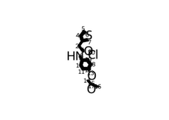 O=C(Cc1ccsc1)Nc1ccc(OCC2CO2)cc1Cl